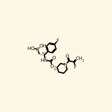 C=C(F)C(=O)N1CCC[C@H](OC(=O)N[C@H](CB(O)O)c2ccc(F)cc2)C1